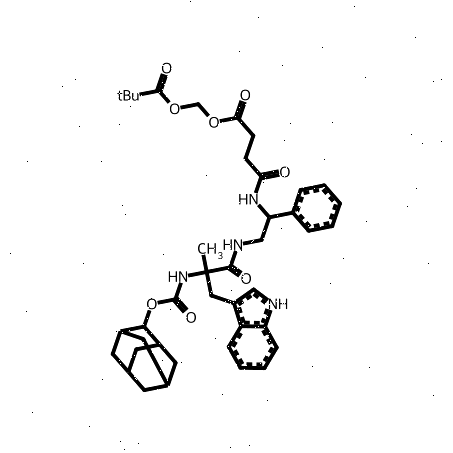 CC(C)(C)C(=O)OCOC(=O)CCC(=O)NC(CNC(=O)C(C)(Cc1c[nH]c2ccccc12)NC(=O)OC1C2CC3CC(C2)CC1C3)c1ccccc1